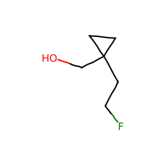 OCC1(CCF)CC1